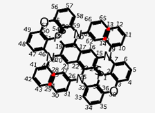 S=P12c3c4cccc3N(c3ccccc3)c3cc5c6c7c(cc5c(c31)N(c1ccccc1)c1cccc(c12)O4)N(c1ccccc1)c1cccc2c1P7(=S)c1c(cccc1N6c1ccccc1)O2